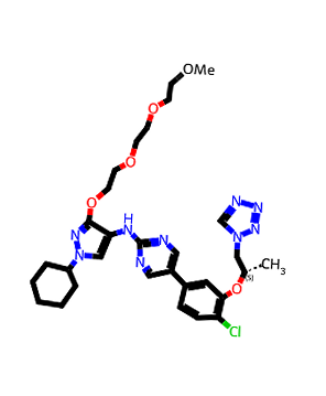 COCCOCCOCCOc1nn(C2CCCCC2)cc1Nc1ncc(-c2ccc(Cl)c(O[C@@H](C)Cn3cnnn3)c2)cn1